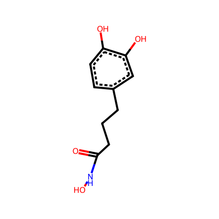 O=C(CCCc1ccc(O)c(O)c1)NO